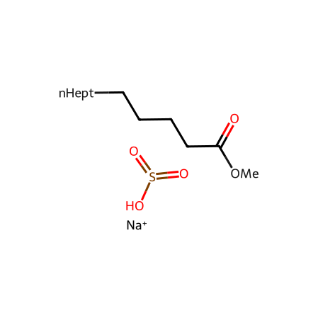 CCCCCCCCCCCC(=O)OC.O=[S-](=O)O.[Na+]